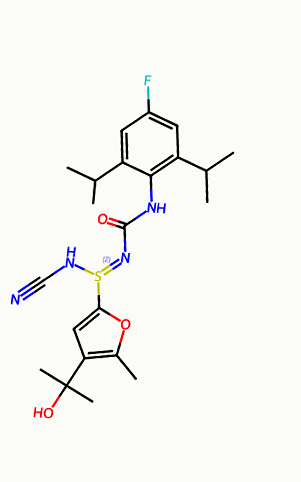 Cc1oc(/S(=N/C(=O)Nc2c(C(C)C)cc(F)cc2C(C)C)NC#N)cc1C(C)(C)O